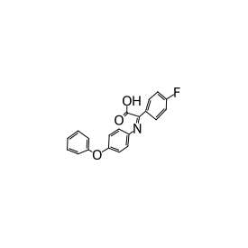 O=C(O)/C(=N\c1ccc(Oc2ccccc2)cc1)c1ccc(F)cc1